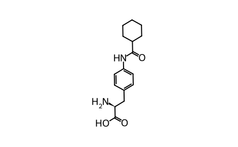 N[C@@H](Cc1ccc(NC(=O)C2CCCCC2)cc1)C(=O)O